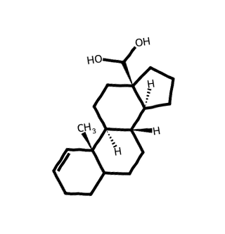 C[C@]12C=CCCC1CC[C@H]1[C@@H]3CCC[C@@]3(C(O)O)CC[C@@H]12